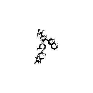 Cc1nc(C)n(CC(=O)N2CCN(c3sc(C(F)(F)F)nc3-c3cnc4c(c3)CCCO4)CC2C)n1